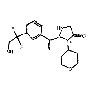 CC(c1cccc(C(F)(F)CO)c1)N1NCC(=O)[C@H]1C1CCOCC1